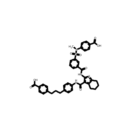 CN(c1ccc(C(=O)O)cc1)S(=O)(=O)c1cccc(C(=O)Nc2sc3c(c2C(=O)Nc2ccc(CCCc4ccc(C(=O)O)cc4)cc2)CCCC3)c1